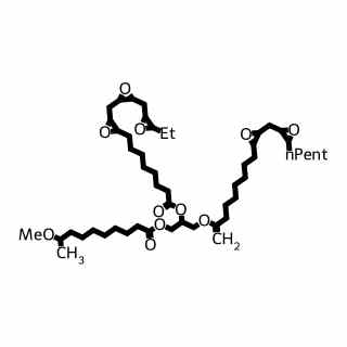 C=C(CCCCCCCC1OC1CC1OC1CCCCC)OCC(COC(=O)CCCCCCCC(C)OC)OC(=O)CCCCCCCC1OC1CC1OC1CC1OC1CC